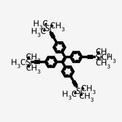 C[Si](C)(C)C#Cc1ccc(C(=C(c2ccc(C#C[Si](C)(C)C)cc2)c2ccc(C#C[Si](C)(C)C)cc2)c2ccc(C#C[Si](C)(C)C)cc2)cc1